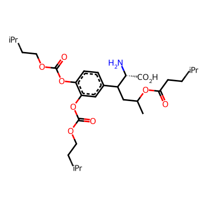 CC(C)CCOC(=O)Oc1ccc(C(CC(C)OC(=O)CCC(C)C)[C@H](N)C(=O)O)cc1OC(=O)OCCC(C)C